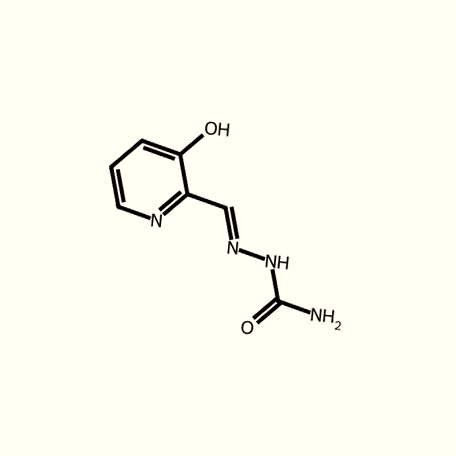 NC(=O)NN=Cc1ncccc1O